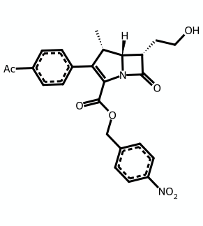 CC(=O)c1ccc(C2=C(C(=O)OCc3ccc([N+](=O)[O-])cc3)N3C(=O)[C@@H](CCO)[C@H]3[C@H]2C)cc1